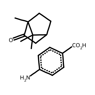 CC12CCC(CC1=O)C2(C)C.Nc1ccc(C(=O)O)cc1